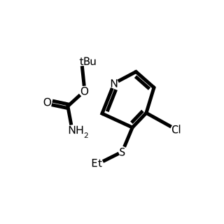 CC(C)(C)OC(N)=O.CCSc1cnccc1Cl